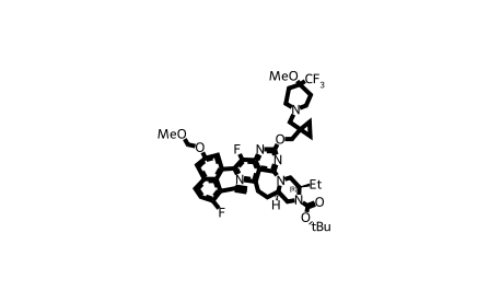 C#Cc1c(F)ccc2cc(OCOC)cc(-c3nc4c5c(nc(OCC6(CN7CCC(OC)(C(F)(F)F)CC7)CC6)nc5c3F)N3C[C@@H](CC)N(C(=O)OC(C)(C)C)C[C@H]3CC4)c12